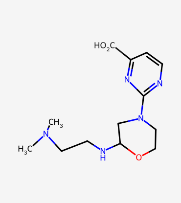 CN(C)CCNC1CN(c2nccc(C(=O)O)n2)CCO1